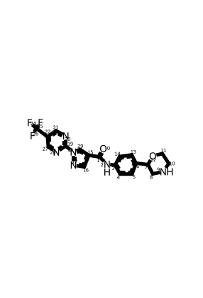 O=C(Nc1ccc(C2CNCCO2)cc1)c1cnn(-c2ncc(C(F)(F)F)cn2)c1